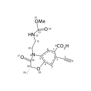 C#Cc1cc2c(cc1C(=O)O)N(CCNC(=O)OC)C(=O)[C@@H](C)O2